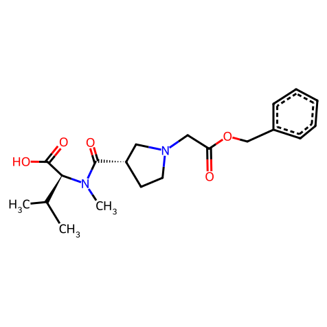 CC(C)[C@@H](C(=O)O)N(C)C(=O)[C@H]1CCN(CC(=O)OCc2ccccc2)C1